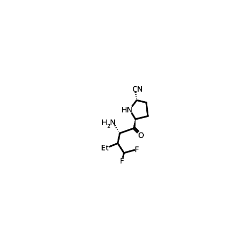 CCC(C(F)F)[C@H](N)C(=O)[C@@H]1CC[C@@H](C#N)N1